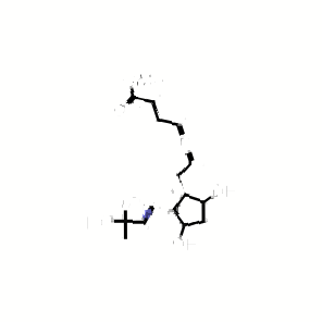 CCCCCC(C)(O)/C=C/[C@H]1C(O)CC(O)[C@@H]1CC=C=CCCC(=O)OC